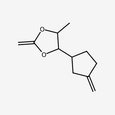 C=C1CCC(C2OC(=C)OC2C)C1